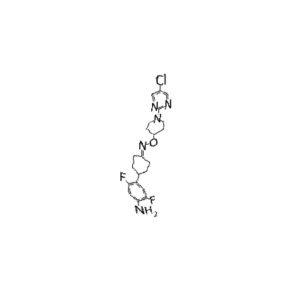 Nc1cc(F)c(C2CCC(=NOC3CCN(c4ncc(Cl)cn4)CC3)CC2)cc1F